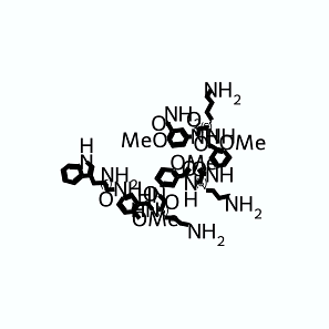 COc1ccc(NC(=O)[C@H](CCCCN)NC(=O)c2cc(NC(=O)[C@H](CCCCN)NC(=O)c3cc(NC(=O)[C@H](CCCCN)NC(=O)c4cc(NC(=O)[C@@H](N)Cc5c[nH]c6ccccc56)ccc4OC)ccc3OC)ccc2OC)cc1C(N)=O